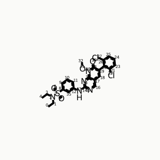 CCN(CC)S(=O)(=O)c1cccc(Nc2ncc3cc(-c4c(Cl)cccc4Cl)c(=O)n(OC)c3n2)c1